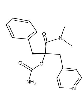 CN(C)C(=O)[C@](Cc1ccccc1)(Cc1ccncc1)OC(N)=O